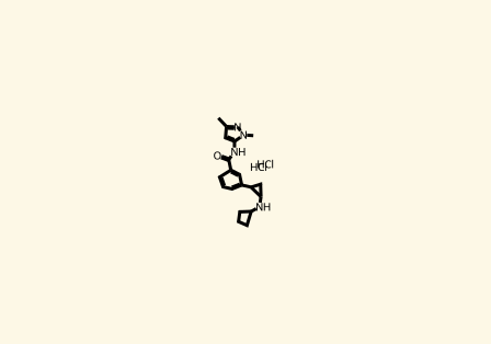 Cc1cc(NC(=O)c2cccc(C3CC3NC3CCC3)c2)n(C)n1.Cl.Cl